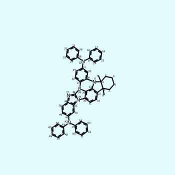 CC12CCCCC1(C)N1c3cc(N(c4ccccc4)c4ccccc4)ccc3B3c4c(ccc2c41)-n1c3nc2ccc(N(c3ccccc3)c3ccccc3)cc21